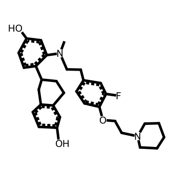 CN(CCc1ccc(OCCN2CCCCC2)c(F)c1)c1cc(O)ccc1C1CCc2cc(O)ccc2C1